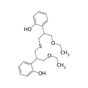 CCOCC(CSCC(COCC)c1ccccc1O)c1ccccc1O